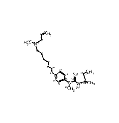 C=CCN(C)CCCCCCOc1ccc(N(C)C(=S)NC(C)CC)cc1